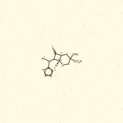 CC(=O)OC1(C(=O)O)CS[C@@H]2C(N(C(C)=O)c3cccs3)C(=O)N2C1